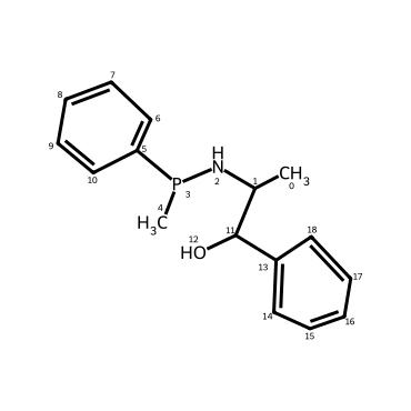 CC(NP(C)c1ccccc1)C(O)c1ccccc1